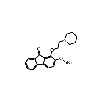 CCCCOc1ccc2c(c1OCCN1CCCCC1)C(=O)c1ccccc1-2